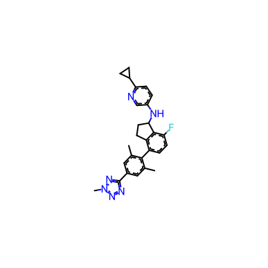 Cc1cc(-c2nnn(C)n2)cc(C)c1-c1ccc(F)c2c1CCC2Nc1ccc(C2CC2)nc1